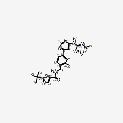 CN/N=C(\N)Nc1cc(-c2ccc(CNC(=O)c3cnc(C(C)(C)C)s3)c(C)c2)ncn1